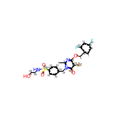 Cc1nc(OCc2ccc(F)cc2F)c(Br)c(=O)n1Cc1ccc(S(=O)(=O)NCCO)cc1